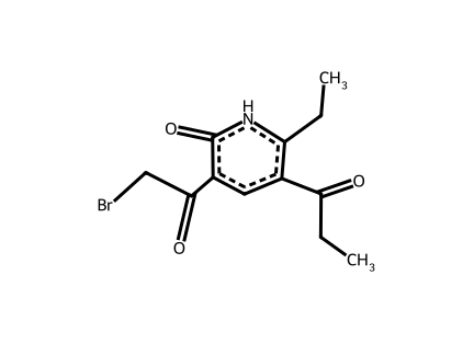 CCC(=O)c1cc(C(=O)CBr)c(=O)[nH]c1CC